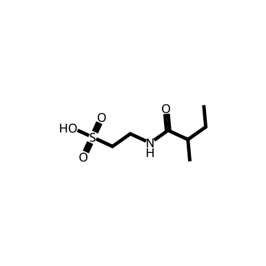 CCC(C)C(=O)NCCS(=O)(=O)O